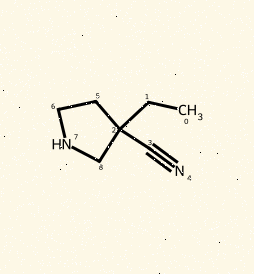 CCC1(C#N)CCNC1